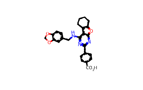 O=C(O)c1ccc(-c2nc(NCc3ccc4c(c3)OCO4)c3c4c(oc3n2)CCCC4)cc1